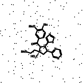 COc1cc(C(=O)N2[C@@H](c3cncs3)[C@@H](c3cnccn3)C[C@]2(CCSC)C(=O)O)ccc1C(C)(C)C